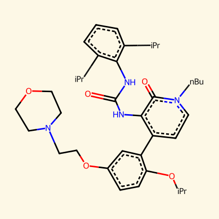 CCCCn1ccc(-c2cc(OCCN3CCOCC3)ccc2OC(C)C)c(NC(=O)Nc2c(C(C)C)cccc2C(C)C)c1=O